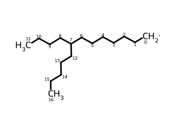 [CH2]CCCCCCC(CCCC)CCCCC